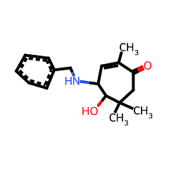 CC1=CC(NCc2ccccc2)C(O)C(C)(C)CC1=O